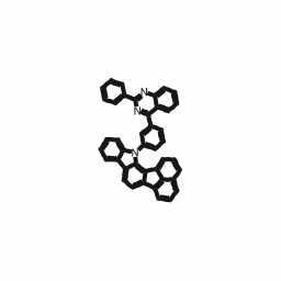 c1ccc(-c2nc(-c3cccc(-n4c5ccccc5c5ccc6c(c54)-c4cccc5cccc-6c45)c3)c3ccccc3n2)cc1